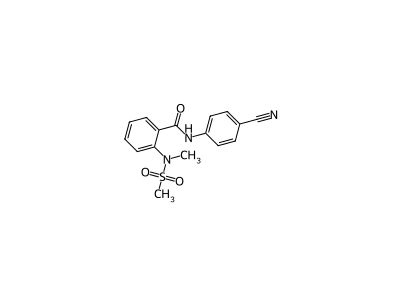 CN(c1ccccc1C(=O)Nc1ccc(C#N)cc1)S(C)(=O)=O